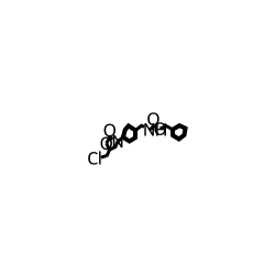 O=C(NCc1ccc(N2CC(CCl)OC2=O)cc1)OCc1ccccc1